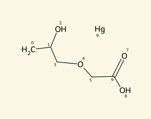 [CH2]C(O)COCC(=O)O.[Hg]